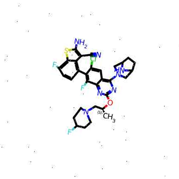 C[C@@H](CN1CCC(F)CC1)Oc1nc(N2CC3CCC(C2)N3)c2cc(Cl)c(-c3ccc(F)c4sc(N)c(C#N)c34)c(F)c2n1